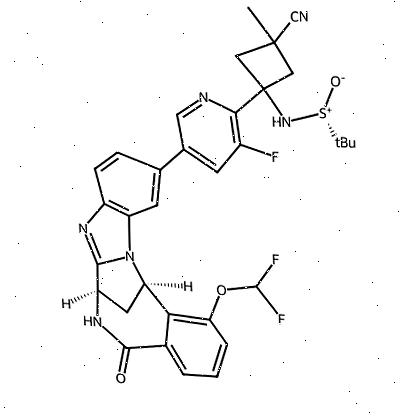 CC1(C#N)CC(N[S@+]([O-])C(C)(C)C)(c2ncc(-c3ccc4nc5n(c4c3)[C@@H]3C[C@H]5NC(=O)c4cccc(OC(F)F)c43)cc2F)C1